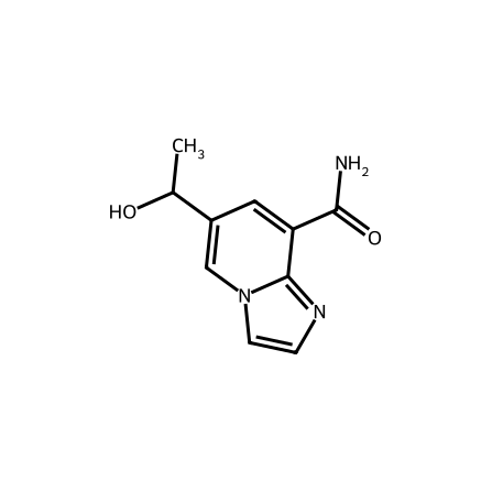 CC(O)c1cc(C(N)=O)c2nccn2c1